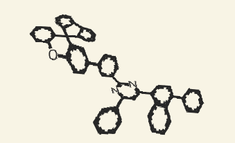 c1ccc(-c2cc(-c3ccc(-c4ccccc4)c4ccccc34)nc(-c3cccc(-c4ccc5c(c4)C4(c6ccccc6O5)c5ccccc5-c5ccccc54)c3)n2)cc1